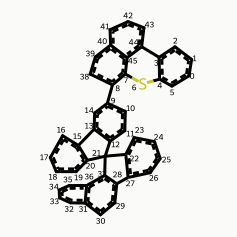 c1ccc2c(c1)Sc1c(-c3ccc4c(c3)-c3ccccc3C43c4ccccc4-c4ccc5ccccc5c43)ccc3cccc-2c13